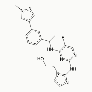 CC(Nc1nc(Nc2nccn2CCO)ncc1F)c1cccc(-c2cnn(C)c2)c1